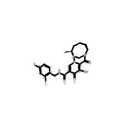 C[C@H]1CCCCN2CN1n1cc(C(=O)NCc3ccc(F)cc3F)c(=O)c(O)c1C2=O